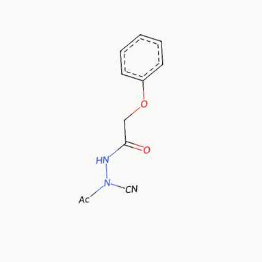 CC(=O)N(C#N)NC(=O)COc1ccccc1